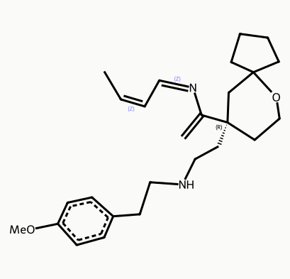 C=C(/N=C\C=C/C)[C@]1(CCNCCc2ccc(OC)cc2)CCOC2(CCCC2)C1